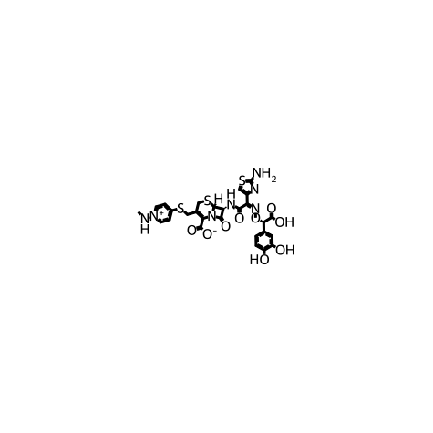 CN[n+]1ccc(SCC2=C(C(=O)[O-])N3C(=O)[C@@H](NC(=O)/C(=N\O[C@@H](C(=O)O)c4ccc(O)c(O)c4)c4csc(N)n4)[C@H]3SC2)cc1